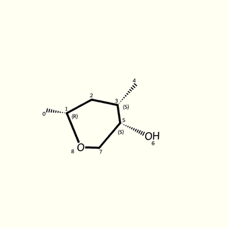 C[C@@H]1C[C@H](C)[C@H](O)CO1